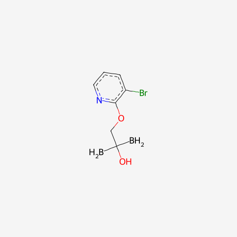 BC(B)(O)COc1ncccc1Br